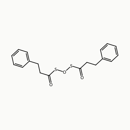 O=C(CCc1ccccc1)SOSC(=O)CCc1ccccc1